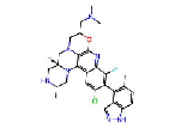 Cc1ccc2[nH]ncc2c1-c1c(Cl)cc2c3c4c(nc2c1F)O[C@H](CN(C)C)CN4C[C@H]1CN[C@H](C)CN31